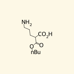 CCCCOC(=O)C(CCCN)C(=O)O